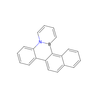 C1=CB2c3c(ccc4ccccc34)-c3ccccc3N2C=C1